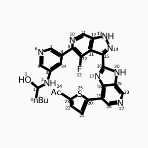 CCCCC(O)Nc1cncc(-c2ncc3[nH]nc(-c4nc5c(-c6ccc(C(C)=O)s6)cncc5[nH]4)c3c2F)c1